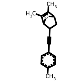 CC1=C(C)C2OC1CC2C#Cc1ccc(C)cc1